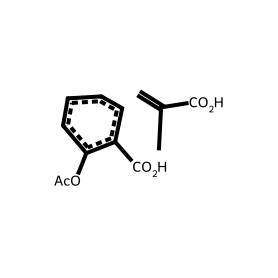 C=C(C)C(=O)O.CC(=O)Oc1ccccc1C(=O)O